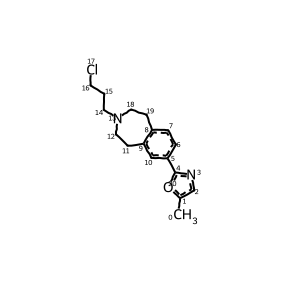 Cc1cnc(-c2ccc3c(c2)CCN(CCCCl)CC3)o1